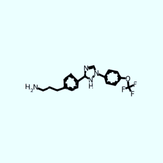 NCCCc1ccc(C2N=CN(c3ccc(OC(F)(F)F)cc3)N2)cc1